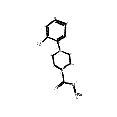 CC(C)(C)OC(=O)N1CCN(c2ccccc2C(F)(F)F)CC1